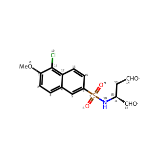 COc1ccc2cc(S(=O)(=O)N[C@H]([C]=O)C[C]=O)ccc2c1Cl